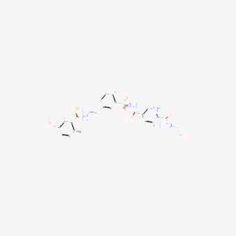 COCCNC(=O)c1ccc(C(=O)NS(=O)(=O)c2cccc(CCNC(=O)c3cc(OC)ccc3Cl)c2)cn1